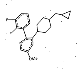 COc1ccc(-c2cccc(F)c2F)c(C2CCC(CC3CC3)CC2)c1